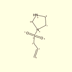 C=CCS(=O)(=O)N1CCNC1